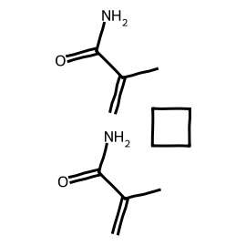 C1CCC1.C=C(C)C(N)=O.C=C(C)C(N)=O